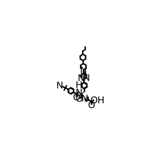 CCCC1CCC(C2CCN(c3cnc(-c4ccc(C[C@H](NC(=O)c5ccc(C(C)(C)C#N)cc5)C(=O)N5CC(C(=O)O)C5)cc4)nc3)CC2)CC1